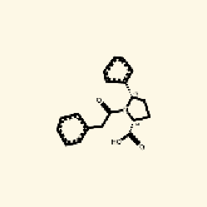 O=C(O)[C@H]1CC[C@@H](c2ccccc2)N1C(=O)Cc1ccccc1